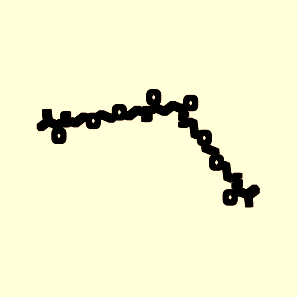 C=C(C)C(=O)SCCOCCOCCSC(=O)CCC(=O)SCCOCCOCCSC(=O)C(=C)C